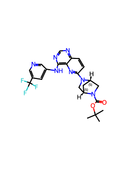 CC(C)(C)OC(=O)N1C[C@@H]2C[C@H]1CN2c1ccc2ncnc(Nc3cncc(C(F)(F)F)c3)c2n1